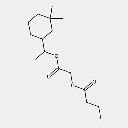 CCCC(=O)OCC(=O)OC(C)C1CCCC(C)(C)C1